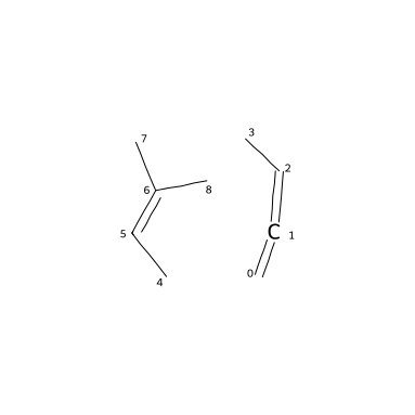 C=C=CC.CC=C(C)C